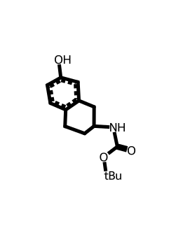 CC(C)(C)OC(=O)NC1CCc2ccc(O)cc2C1